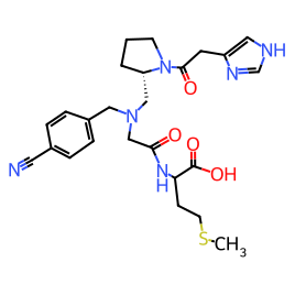 CSCCC(NC(=O)CN(Cc1ccc(C#N)cc1)C[C@@H]1CCCN1C(=O)Cc1c[nH]cn1)C(=O)O